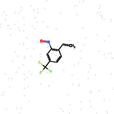 C=Cc1ccc(C(F)(F)F)cc1N=O